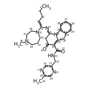 CCC/C=C(\N=C1/CC(=O)C(C(=O)NCc2cnc(C)cn2)=C2Sc3ccccc3N21)N1CCCN(C)CC1